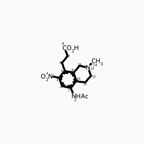 CC(=O)Nc1cc([N+](=O)[O-])c(CCC(=O)O)c2c1CCN(C)C2